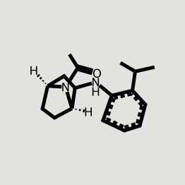 CC(=O)N1[C@H]2CC[C@@H]1C(Nc1ccccc1C(C)C)C2